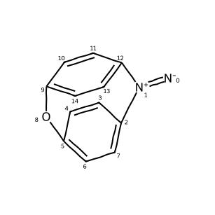 [N-]=[N+]1c2ccc(cc2)Oc2ccc1cc2